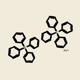 [Pt+2].c1ccc([B-](c2ccccc2)(c2ccccc2)c2ccccc2)cc1.c1ccc([B-](c2ccccc2)(c2ccccc2)c2ccccc2)cc1